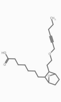 CCCC#CCOCCC1C2CCC(O2)C1CCCCCCC(=O)O